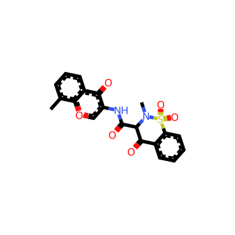 Cc1cccc2c(=O)c(NC(=O)C3C(=O)c4ccccc4S(=O)(=O)N3C)coc12